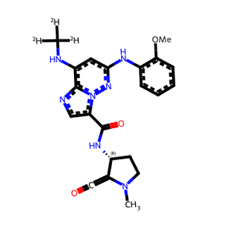 [2H]C([2H])([2H])Nc1cc(Nc2ccccc2OC)nn2c(C(=O)N[C@@H]3CCN(C)C3=C=O)cnc12